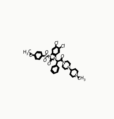 COc1ccc(S(=O)(=O)n2c(=O)n(C(C(=O)N3CCN(C4CCN(C)CC4)CC3)c3ccccc3)c3cc(Cl)c(Cl)cc32)cc1